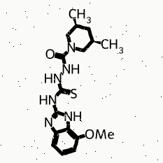 COc1cccc2nc(NC(=S)NNC(=O)N3C[C@H](C)C[C@H](C)C3)[nH]c12